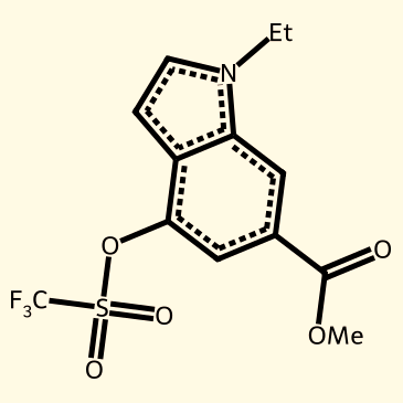 CCn1ccc2c(OS(=O)(=O)C(F)(F)F)cc(C(=O)OC)cc21